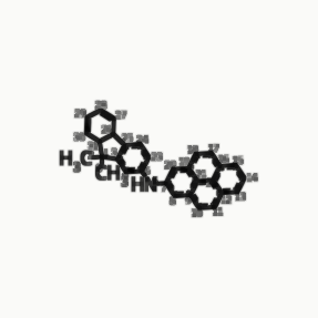 CC1(C)c2cc(Nc3cc4ccc5cccc6ccc(c3)c4c56)ccc2C2C=CC=CC21